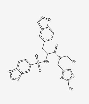 CC(C)CN(Cc1csc(C(C)C)n1)C(=O)C(Cc1ccc2occc2c1)NS(=O)(=O)c1ccc2occc2c1